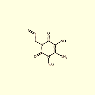 C=CCn1c(=O)c(N=O)c(N)n(CCCC)c1=O